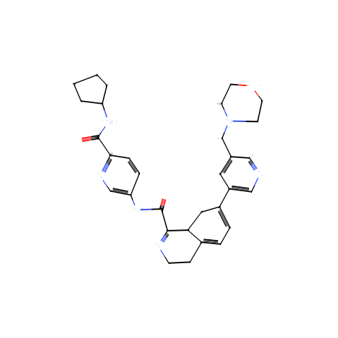 O=C(Nc1ccc(C(=O)NC2CCCC2)nc1)C1=NCCC2=CC=C(c3cncc(CN4CCOCC4)c3)CC21